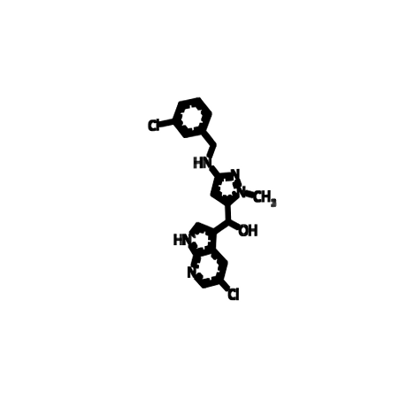 Cn1nc(NCc2cccc(Cl)c2)cc1C(O)c1c[nH]c2ncc(Cl)cc12